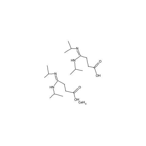 CC(C)N=C(CCC(=O)O)NC(C)C.CC(C)N=C(CCC(=O)O)NC(C)C.[GeH4]